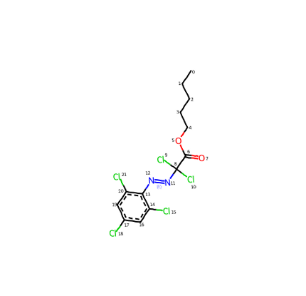 CCCCCOC(=O)C(Cl)(Cl)/N=N/c1c(Cl)cc(Cl)cc1Cl